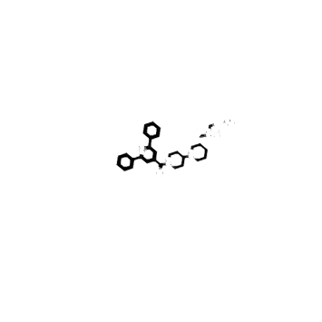 COCNC(=O)[C@@H]1CCCN(C2CCN(C(=O)c3cc(-c4ccccc4)nc(-c4ccccc4)c3)CC2)C1